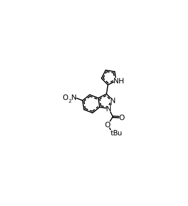 CC(C)(C)OC(=O)n1nc(-c2ccc[nH]2)c2cc([N+](=O)[O-])ccc21